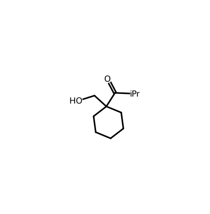 CC(C)C(=O)C1(CO)CCCCC1